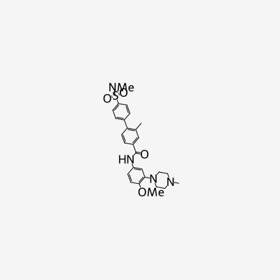 CNS(=O)(=O)c1ccc(-c2ccc(C(=O)Nc3ccc(OC)c(N4CCN(C)CC4)c3)cc2C)cc1